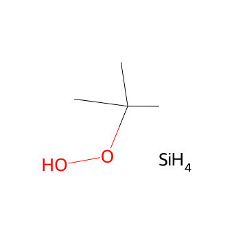 CC(C)(C)OO.[SiH4]